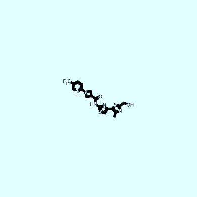 Cc1nc(CO)sc1-c1csc(NC(=O)C2CN(c3ccc(C(F)(F)F)cn3)C2)n1